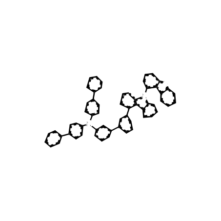 c1ccc(-c2ccc(N(c3ccc(-c4ccccc4)cc3)c3cccc(-c4cccc(-c5cccc6c5c5ccccc5n6-c5cccc6sc7ccccc7c56)c4)c3)cc2)cc1